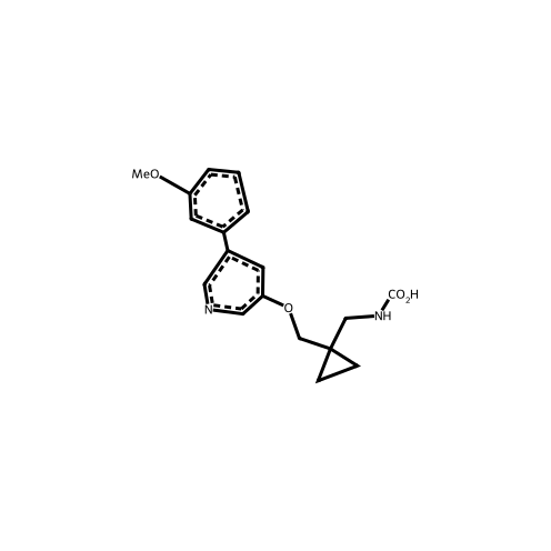 COc1cccc(-c2cncc(OCC3(CNC(=O)O)CC3)c2)c1